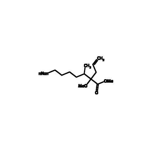 C=CCC(OC)(C(=O)OC)C(C)CCCCCCCCCCCCC